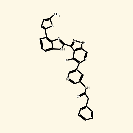 Cc1ccc(-c2cccc3[nH]c(-c4n[nH]c5cnc(-c6cncc(NC(=O)Cc7ccccc7)c6)c(F)c45)nc23)s1